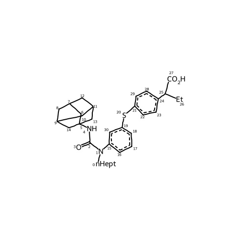 CCCCCCCN(C(=O)NC12CC3CC(CC(C3)C1)C2)c1cccc(Sc2ccc(C(CC)C(=O)O)cc2)c1